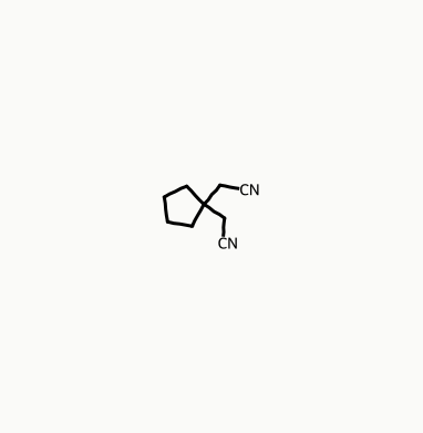 N#CCC1(CC#N)CCCC1